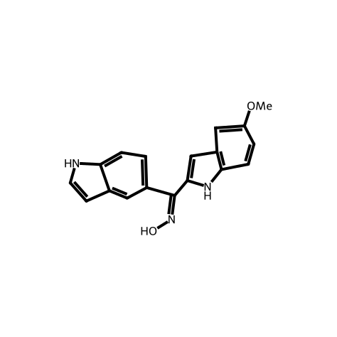 COc1ccc2[nH]c(/C(=N/O)c3ccc4[nH]ccc4c3)cc2c1